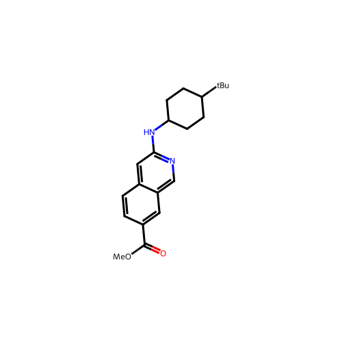 COC(=O)c1ccc2cc(NC3CCC(C(C)(C)C)CC3)ncc2c1